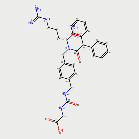 N=C(N)NCCC[C@H](C(N)=O)N(Cc1ccc(CNC(=O)NCC(=O)O)cc1)C(=O)C(c1ccccc1)c1ccccc1